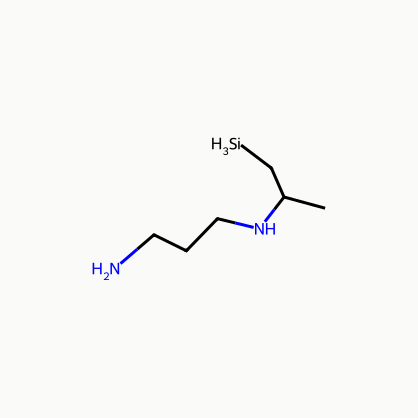 CC(C[SiH3])NCCCN